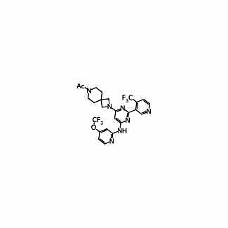 CC(=O)N1CCC2(CC1)CN(c1cc(Nc3cc(OC(F)(F)F)ccn3)nc(-c3cnccc3C(F)(F)F)n1)C2